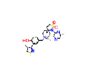 Cc1cncc(N2[C@]3(C=CS2(=O)=O)CCN(Cc2ccc(O)c(-c4nscc4C)c2)[C@@H](C)C3)n1